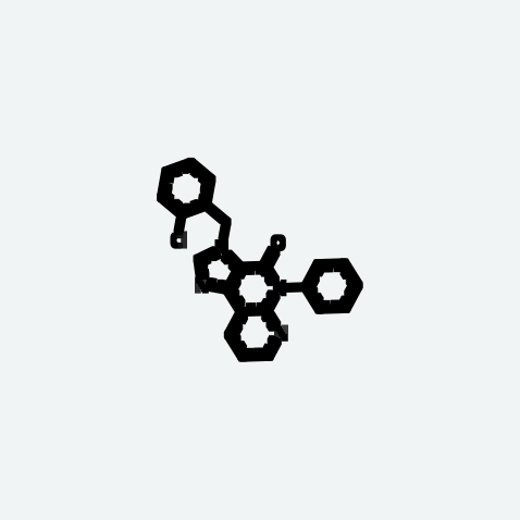 O=c1c2c(ncn2Cc2ccccc2Cl)c2cccnc2n1-c1ccccc1